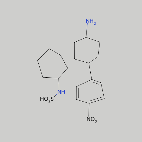 NC1CCC(c2ccc([N+](=O)[O-])cc2)CC1.O=S(=O)(O)NC1CCCCC1